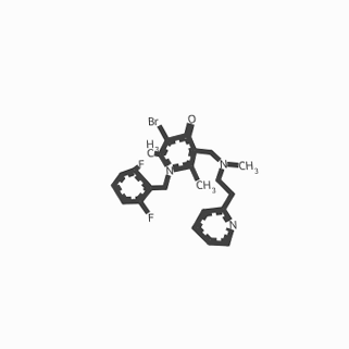 Cc1c(Br)c(=O)c(CN(C)CCc2ccccn2)c(C)n1Cc1c(F)cccc1F